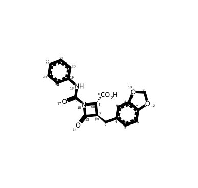 O=C(O)[C@@H]1[C@@H](Cc2ccc3c(c2)OCO3)C(=O)N1C(=O)Nc1ccccc1